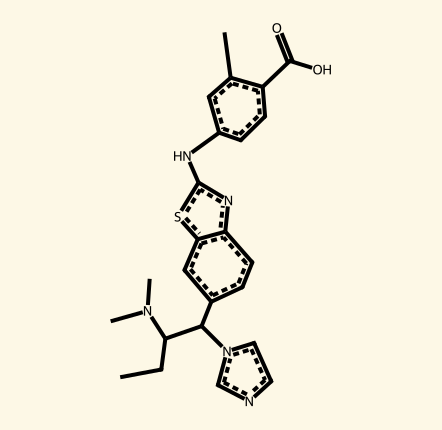 CCC(C(c1ccc2nc(Nc3ccc(C(=O)O)c(C)c3)sc2c1)n1ccnc1)N(C)C